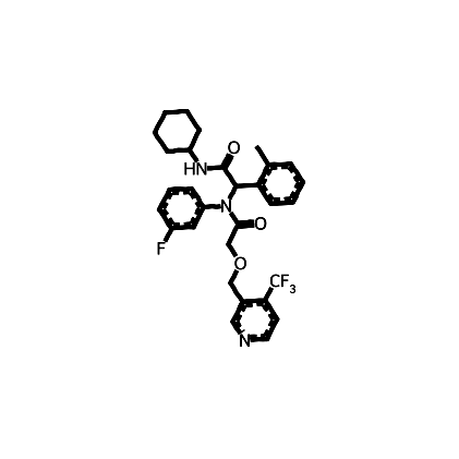 Cc1ccccc1C(C(=O)NC1CCCCC1)N(C(=O)COCc1cnccc1C(F)(F)F)c1cccc(F)c1